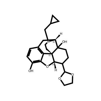 Oc1ccc2c3c1O[C@H]1C(C4OCCO4)CCC4(O)[C@@H](C2)N(CC2CC2)CC[C@]314